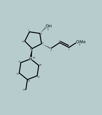 COC=CC[C@H]1[C@@H](O)CC[C@@H]1N1CCC(C)CC1